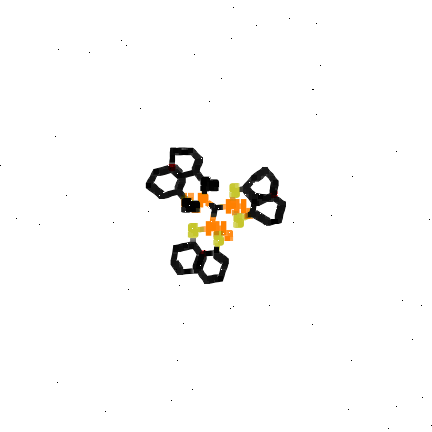 c1ccc(S[PH2](Sc2ccccc2)C([PH2](Sc2ccccc2)Sc2ccccc2)[PH2]([Se]c2ccccc2)[Se]c2ccccc2)cc1